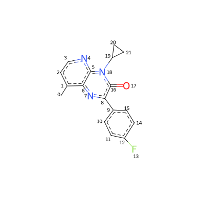 Cc1ccnc2c1nc(-c1ccc(F)cc1)c(=O)n2C1CC1